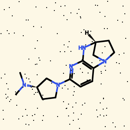 CN(C)[C@H]1CCN(c2ccc3c(n2)N[C@H]2CCN3C2)C1